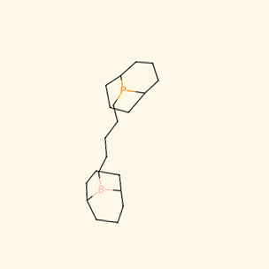 C(CCB1C2CCCC1CCC2)CCP1C2CCCC1CCC2